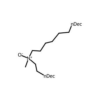 CCCCCCCCCCCCCCCC[N+](C)([O-])CCCCCCCCCCCC